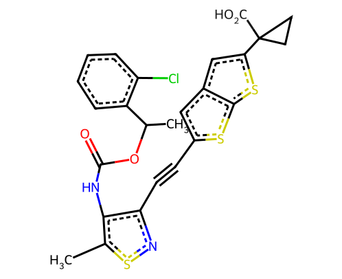 Cc1snc(C#Cc2cc3cc(C4(C(=O)O)CC4)sc3s2)c1NC(=O)OC(C)c1ccccc1Cl